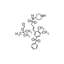 CC(C)(C)OC=O.Cc1cc(S(=O)(=O)c2ccccc2)cc(C=CCS(=O)(=O)NC2CCNCC2)c1C